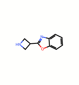 c1ccc2oc(C3CNC3)nc2c1